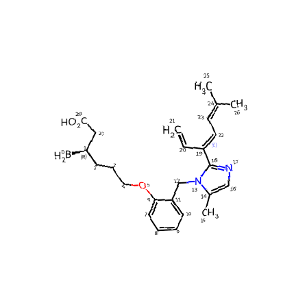 B[C@H](CCCOc1ccccc1Cn1c(C)cnc1/C(C=C)=C/C=C(C)C)CC(=O)O